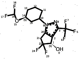 O[C@H]1c2c(C(F)(F)F)nn(C3CCC[C@H](OC(F)F)C3)c2CC1(F)F